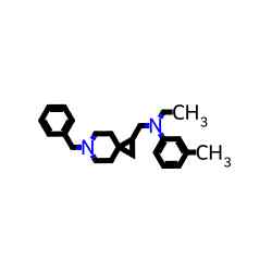 CCN(CC1CC12CCN(Cc1ccccc1)CC2)c1cccc(C)c1